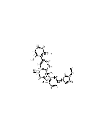 C=Cc1ncn(-c2cccc([C@@]3(C)c4nnc(-c5c(F)cccc5F)cc4[C@H](C)CC3(C)C)n2)n1